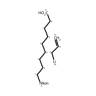 CCCCCCCCCCCCCCCCCC(=O)O.[Li][CH2]C=C